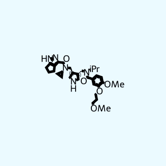 COCCCOc1cc(C(=O)N(C[C@@H]2CNC[C@H]2CN(C(=O)c2n[nH]c3c2CCC3)C2CC2)C(C)C)ccc1OC